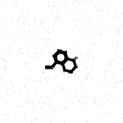 O=Cc1cncc2c1COCO2